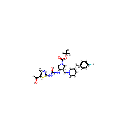 CC(=O)c1sc(NC(=O)N[C@@H]2CN(C(=O)OC(C)(C)C)C[C@H]2CN2CCC[C@@H](Cc3ccc(F)cc3)C2)nc1C